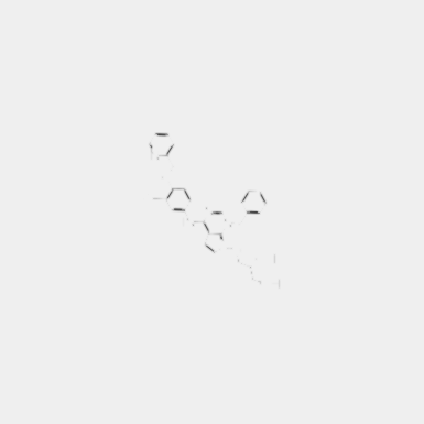 OC[C@H](O)COS1=C2C(=C(Nc3ccc(OCc4ccccn4)c(Cl)c3)N=CN2Cc2ccccc2)C=C1